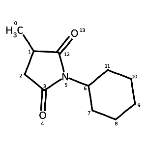 CC1CC(=O)N(C2CCCCC2)C1=O